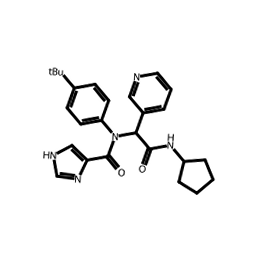 CC(C)(C)c1ccc(N(C(=O)c2c[nH]cn2)C(C(=O)NC2CCCC2)c2cccnc2)cc1